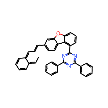 C/C=c1/cccc/c1=C/C=C/c1ccc2c(c1)oc1cccc(-c3nc(-c4ccccc4)nc(-c4ccccc4)n3)c12